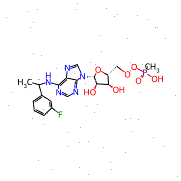 CC(Nc1ncnc2c1ncn2[C@@H]1O[C@H](COOP(C)(=O)O)[C@@H](O)[C@H]1O)c1cccc(F)c1